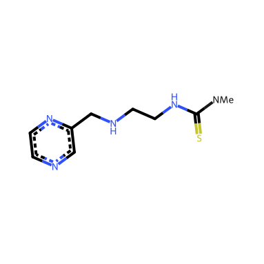 CNC(=S)NCCNCc1cnccn1